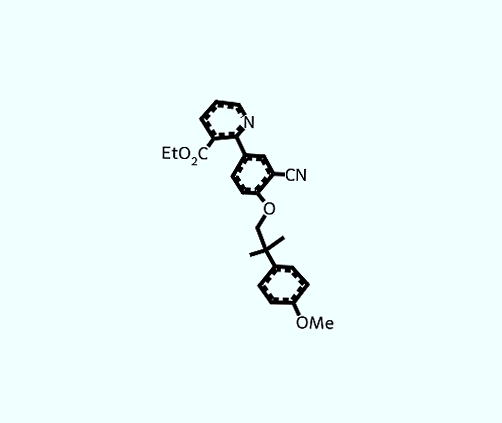 CCOC(=O)c1cccnc1-c1ccc(OCC(C)(C)c2ccc(OC)cc2)c(C#N)c1